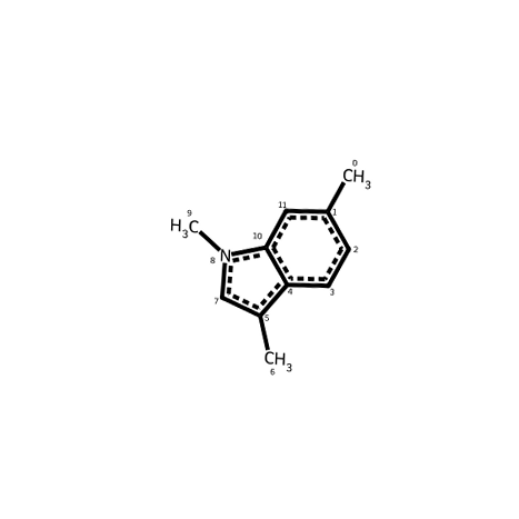 Cc1ccc2c(C)cn(C)c2c1